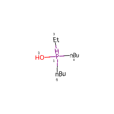 CCCC[PH](O)(CC)CCCC